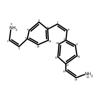 N/C=C\c1ccc(/C=C\c2ccc(/C=C\N)cc2)cc1